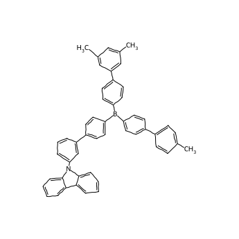 Cc1ccc(-c2ccc(B(c3ccc(-c4cc(C)cc(C)c4)cc3)c3ccc(-c4cccc(-n5c6ccccc6c6ccccc65)c4)cc3)cc2)cc1